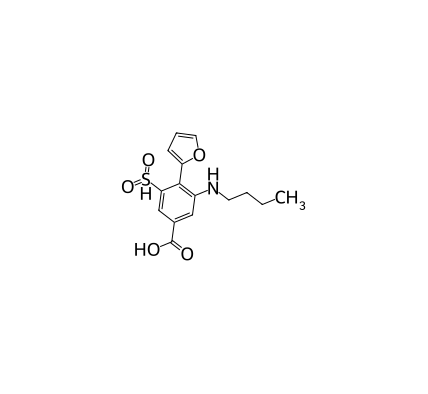 CCCCNc1cc(C(=O)O)cc([SH](=O)=O)c1-c1ccco1